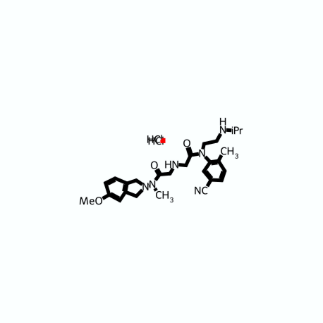 COc1ccc2c(c1)CN(N(C)C(=O)CNCC(=O)N(CCNC(C)C)c1cc(C#N)ccc1C)C2.Cl.Cl